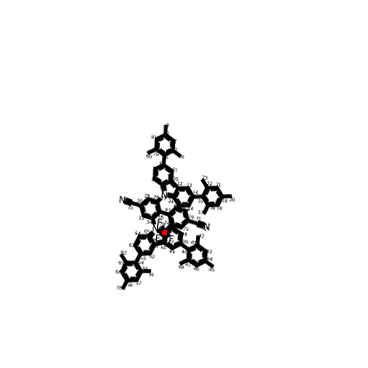 Cc1cc(C)c(-c2ccc3c(c2)c2cc(-c4c(C)cc(C)cc4C)ccc2n3-c2cc(C#N)cc(-n3c4ccc(-c5c(C)cc(C)cc5C)cc4c4cc(-c5c(C)cc(C)cc5C)ccc43)c2-c2ccc(C#N)cc2C(F)(F)F)c(C)c1